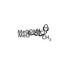 CO[Si](CCCNCC(C)(C)CN1CCOCC1)(OC)OC